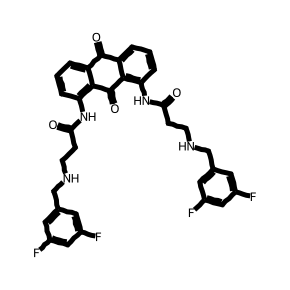 O=C(CCNCc1cc(F)cc(F)c1)Nc1cccc2c1C(=O)c1c(NC(=O)CCNCc3cc(F)cc(F)c3)cccc1C2=O